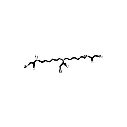 O=C(CBr)NCCCCCCN(CCCCCCNC(=O)CBr)C(=O)CBr